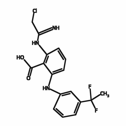 CC(F)(F)c1cccc(Nc2cccc(NC(=N)CCl)c2C(=O)O)c1